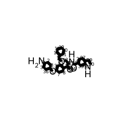 Nc1ccc(Oc2ccc(C(=O)C(COCc3ccccc3)NC(=O)c3ccc4cc[nH]c4c3)cc2)cc1